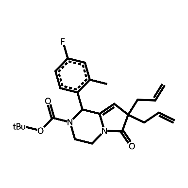 C=CCC1(CC=C)C=C2C(c3ccc(F)cc3C)N(C(=O)OC(C)(C)C)CCN2C1=O